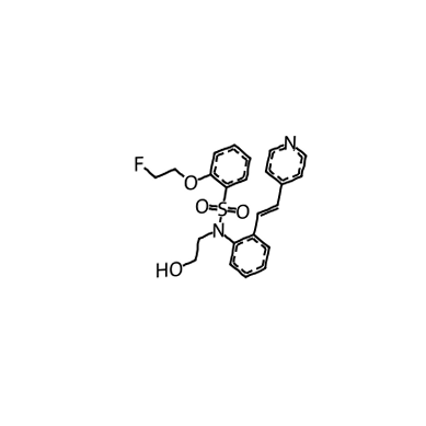 O=S(=O)(c1ccccc1OCCF)N(CCO)c1ccccc1C=Cc1ccncc1